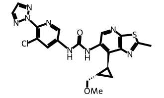 COC[C@H]1C[C@@H]1c1c(NC(=O)Nc2cnc(-n3nccn3)c(Cl)c2)cnc2sc(C)nc12